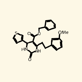 COc1cccc(CCC2=C(C(=O)OCc3ccccc3)C(c3ccsc3)NC(=O)N2)c1